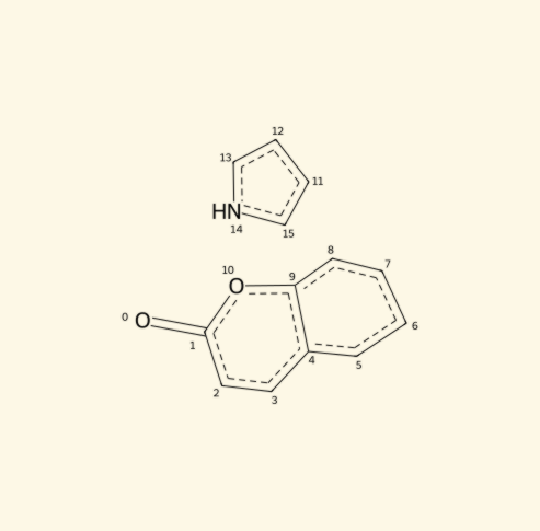 O=c1ccc2ccccc2o1.c1cc[nH]c1